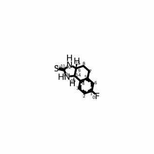 Fc1ccc2c(c1)CC[C@H]1NC(=S)N[C@H]21